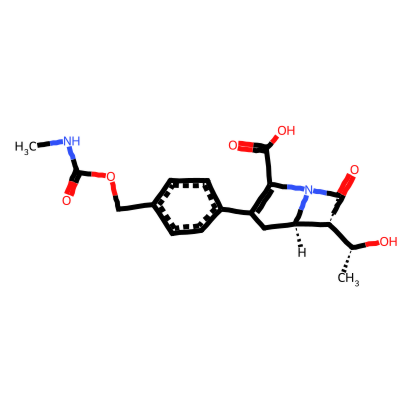 CNC(=O)OCc1ccc(C2=C(C(=O)O)N3C(=O)[C@H]([C@@H](C)O)[C@H]3C2)cc1